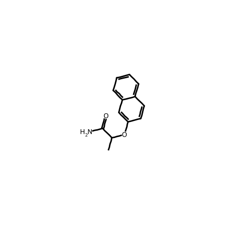 CC(Oc1ccc2ccccc2c1)C(N)=O